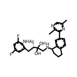 CC(=O)N[C@@H](Cc1cc(F)cc(F)c1)C(O)(O)CNC1CCCc2ccc(-c3nc(C)cnc3C)cc21